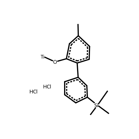 Cc1ccc(-c2cccc([Si](C)(C)C)c2)c([O][Ti])c1.Cl.Cl